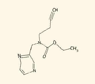 C#CCCN(Cc1cnccn1)C(=O)OCC